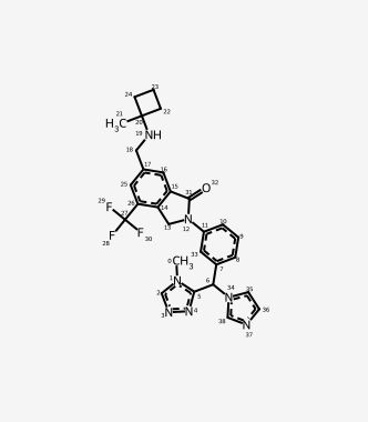 Cn1cnnc1C(c1cccc(N2Cc3c(cc(CNC4(C)CCC4)cc3C(F)(F)F)C2=O)c1)n1ccnc1